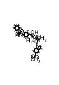 COC(=O)c1ccc2c(ccn2CCC(C)(C)NCC(O)c2ccc(NS(=O)(=O)c3ccccc3)cc2)c1